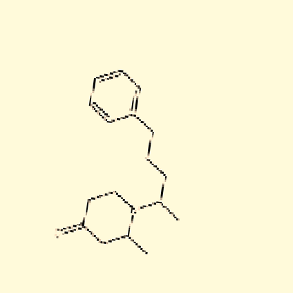 CC(CCCc1ccccc1)N1CCC(=O)CC1C